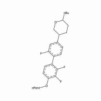 CCCCCOc1ccc(-c2ccc(C3CCC(CCCC)OC3)cc2F)c(F)c1F